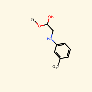 CCOC(O)CNc1cccc([N+](=O)[O-])c1